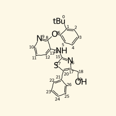 CC(C)(C)c1ccccc1Oc1ncccc1Nc1nc(CO)c(-c2ccccc2)s1